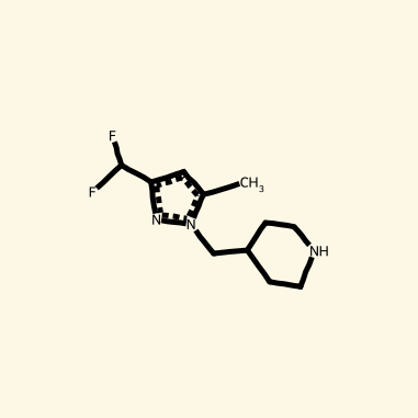 Cc1cc(C(F)F)nn1CC1CCNCC1